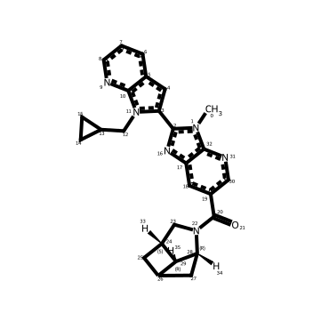 Cn1c(-c2cc3cccnc3n2CC2CC2)nc2cc(C(=O)N3C[C@H]4CC5C[C@@H]3[C@H]54)cnc21